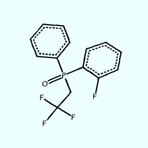 O=P(CC(F)(F)F)(c1ccccc1)c1ccccc1F